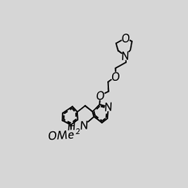 COc1cccc(Cc2c(N)ccnc2OCCOCCN2CCOCC2)c1